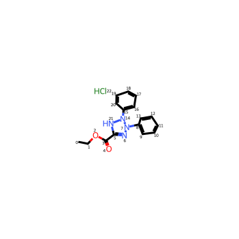 CCOC(=O)C1=NN(c2ccccc2)N(c2ccccc2)N1.Cl